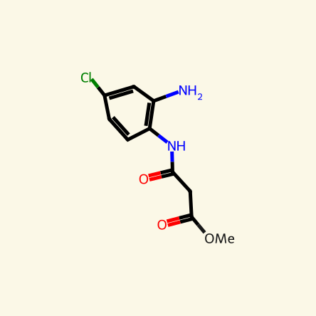 COC(=O)CC(=O)Nc1ccc(Cl)cc1N